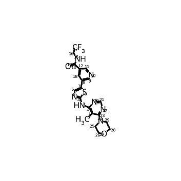 Cc1c(Nc2ncc(-c3cncc(C(=O)NCC(F)(F)F)c3)s2)ncnc1N1CCOCC1